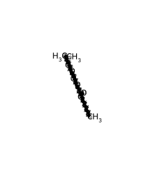 CCCCCCCCCOC(=O)CCCOCCOCCOCCOCCC(C)C